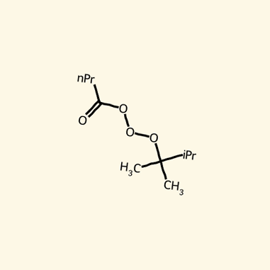 CCCC(=O)OOOC(C)(C)C(C)C